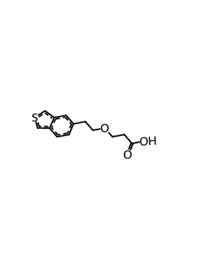 O=C(O)CCOCCc1ccc2cscc2c1